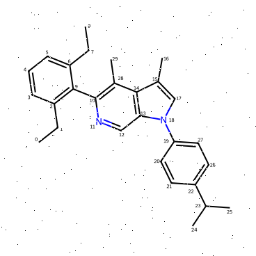 CCc1cccc(CC)c1-c1ncc2c(c(C)cn2-c2ccc(C(C)C)cc2)c1C